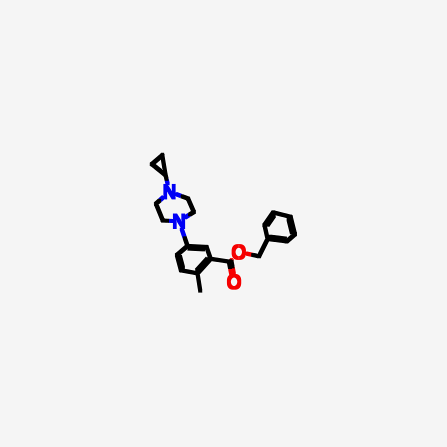 Cc1ccc(N2CCN(C3CC3)CC2)cc1C(=O)OCc1ccccc1